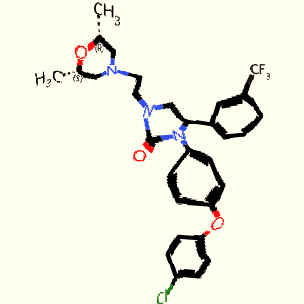 C[C@@H]1CN(CCN2CC(c3cccc(C(F)(F)F)c3)N(c3ccc(Oc4ccc(Cl)cc4)cc3)C2=O)C[C@H](C)O1